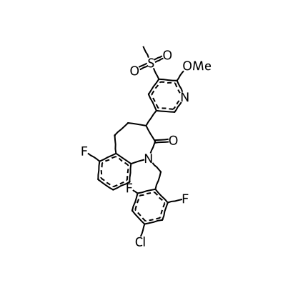 COc1ncc(C2CCc3c(F)cccc3N(Cc3c(F)cc(Cl)cc3F)C2=O)cc1S(C)(=O)=O